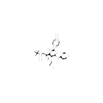 CC(C)(C)NCc1nn(CCO)c2c(Nc3ccncn3)nc(N3CCNCC3)nc12